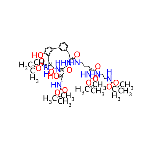 CC(C)(C)OC(=O)NCCNC(=O)[C@H](CCCNC(=O)[C@@H]1Cc2cccc(c2)-c2ccc(O)c(c2)C[C@H](NC(=O)OC(C)(C)C)C(=O)N[C@@H](C[C@@H](O)CNC(=O)OC(C)(C)C)C(=O)N1)NC(=O)OC(C)(C)C